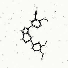 COc1ccc(-c2c[nH]c3ncc(-c4ccc(OC)c(OC)c4)cc23)cc1C#N